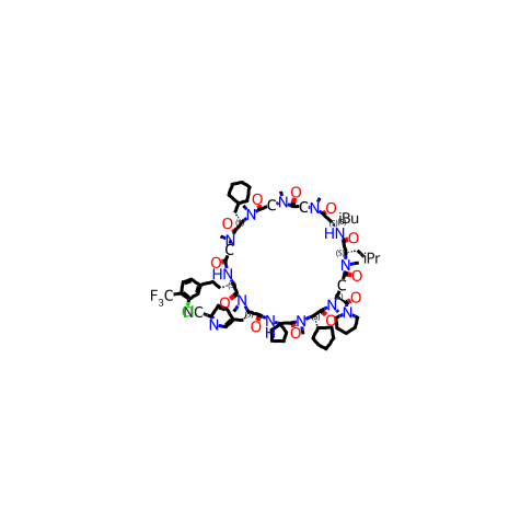 CC[C@H](C)[C@@H]1NC(=O)[C@H](CC(C)C)N(C)C(=O)C[C@@H](C(=O)N2CCCCC2)N(C)C(=O)[C@H](C2CCCCC2)N(C)C(=O)C2(CCCC2)NC(=O)[C@H](Cc2ccc(C#N)nc2)N(C)C(=O)[C@H](CCc2ccc(C(F)(F)F)c(Cl)c2)NC(=O)CN(C)C(=O)[C@H](CC2CCCCC2)N(C)C(=O)CN(C)C(=O)CN(C)C1=O